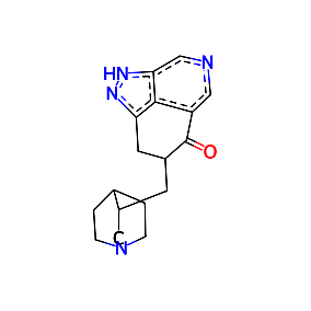 O=C1c2cncc3[nH]nc(c23)CC1CC1CN2CCC1CC2